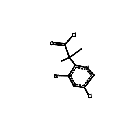 CC(C)(C(=O)Cl)c1ncc(Cl)cc1Br